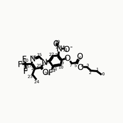 CCCCOC(=O)COc1cc(F)c(-n2cnc(C(F)(F)F)c(CC)c2=O)cc1[N+](=O)[O-]